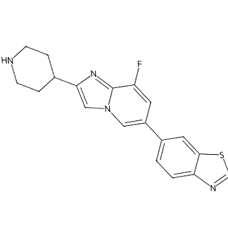 Fc1cc(-c2ccc3ncsc3c2)cn2cc(C3CCNCC3)nc12